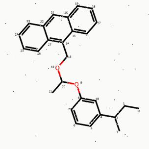 CCC(C)c1cccc(OC(C)OCc2c3ccccc3cc3ccccc23)c1